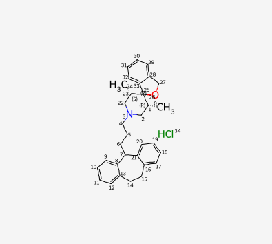 C[C@@H]1CN(CCCC2c3ccccc3CCc3ccccc32)C[C@H](C)[C@@]12OCc1ccccc12.Cl